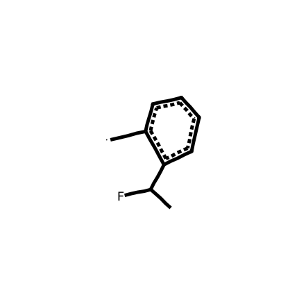 [CH2]c1ccccc1C(C)F